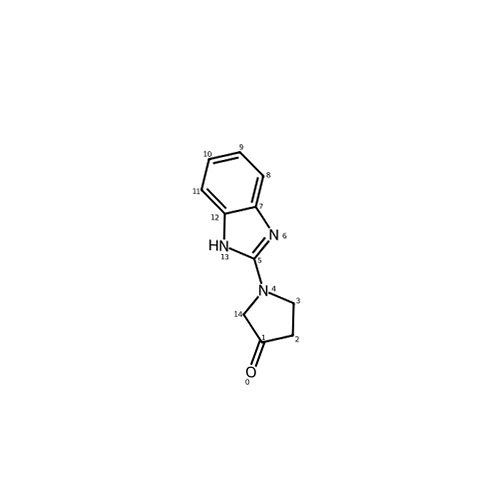 O=C1CCN(c2nc3ccccc3[nH]2)C1